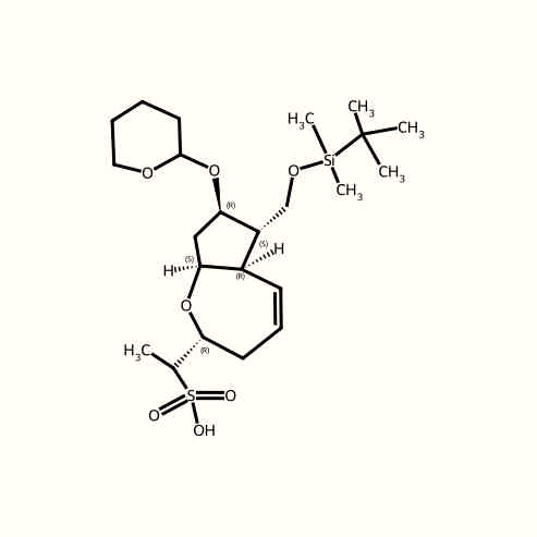 CC([C@H]1CC=C[C@@H]2[C@@H](CO[Si](C)(C)C(C)(C)C)[C@H](OC3CCCCO3)C[C@@H]2O1)S(=O)(=O)O